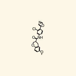 COc1ccc2c(c1)CC(C(=O)Nc1ccc(-c3cnco3)c(Cl)c1)CO2